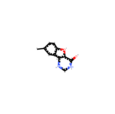 Cc1ccc2oc3c(=O)[nH]cnc3c2c1